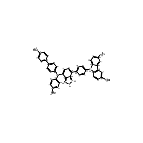 CC(C)(C)c1ccc(-c2ccc(N(c3ccc(C(C)(C)C)cc3)c3ccc(-c4ccc(-n5c6ccc(C(C)(C)C)cc6c6cc(C(C)(C)C)ccc65)cc4)c4nsnc34)cc2)cc1